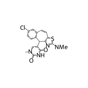 CNc1nc2c(s1)C=Cc1cc(Cl)ccc1C2c1cn(C)c(=O)[nH]c1=O